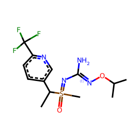 CC(C)O/N=C(\N)N=S(C)(=O)C(C)c1ccc(C(F)(F)F)nc1